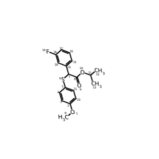 COc1ccc(SC(C(=O)OC(C)C)c2cccc(F)c2)cc1